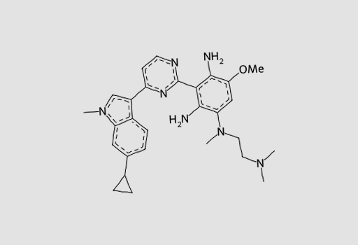 COc1cc(N(C)CCN(C)C)c(N)c(-c2nccc(-c3cn(C)c4cc(C5CC5)ccc34)n2)c1N